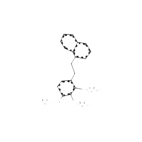 COc1c[c]c(CCc2cccc3ccccc23)c(OC)c1OC